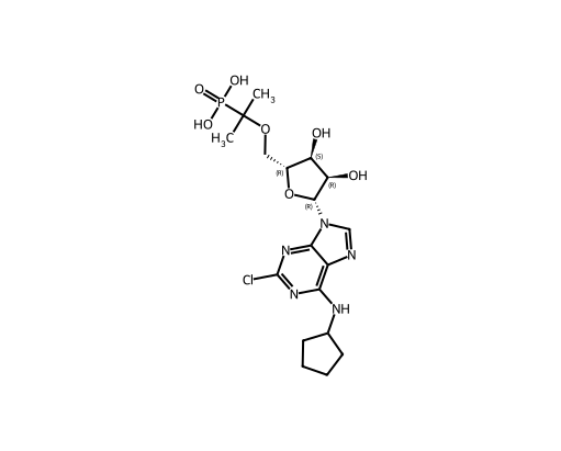 CC(C)(OC[C@H]1O[C@@H](n2cnc3c(NC4CCCC4)nc(Cl)nc32)[C@H](O)[C@@H]1O)P(=O)(O)O